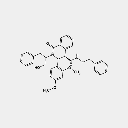 COc1ccc([C@H]2[C@H](C(=O)NCCc3ccccc3)c3ccccc3C(=O)N2[C@H](CO)Cc2ccccc2)c(OC)c1